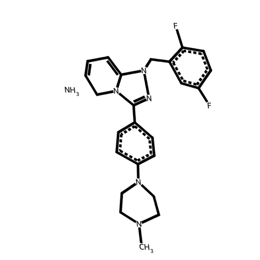 CN1CCN(c2ccc(C3=NN(Cc4cc(F)ccc4F)C4=CC=CCN43)cc2)CC1.N